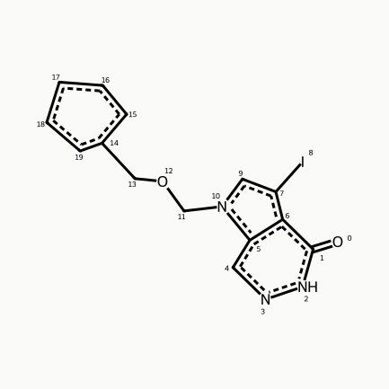 O=c1[nH]ncc2c1c(I)cn2COCc1ccccc1